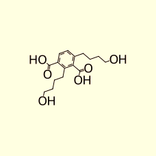 O=C(O)c1ccc(CCCCO)c(C(=O)O)c1CCCCO